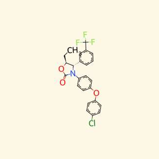 CC[C@@H]1OC(=O)N(c2ccc(Oc3ccc(Cl)cc3)cc2)[C@H]1c1cccc(C(F)(F)F)c1